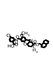 COc1cc(C#N)c(OC2CCC(C)(C(=O)OCc3cccc4ccccc34)CC2)cc1C(=O)Nc1cc(Cl)ccc1C(=O)O